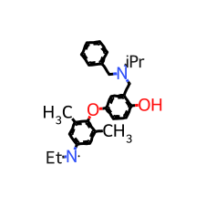 CC[N]c1cc(C)c(Oc2ccc(O)c(CN(Cc3ccccc3)C(C)C)c2)c(C)c1